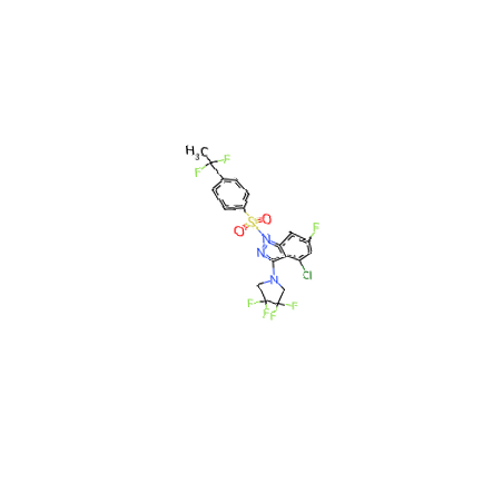 CC(F)(F)c1ccc(S(=O)(=O)n2nc(N3CC(F)(F)C(F)(F)C3)c3c(Cl)cc(F)cc32)cc1